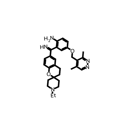 CCN1CCC2(CCc3cc(C(=N)c4cc(OCc5c(C)cnnc5C)ccc4N)ccc3O2)CC1